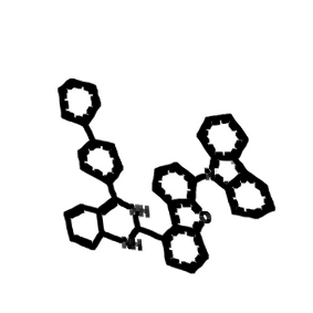 C1=CC2=C(c3ccc(-c4ccccc4)cc3)NC(c3cccc4oc5c(-n6c7ccccc7c7ccccc76)cccc5c34)NC2C=C1